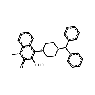 Cn1c(=O)c(C=O)c(N2CCN(C(c3ccccc3)c3ccccc3)CC2)c2ccccc21